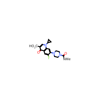 CNC(=O)N1CCN(c2cc3c(cc2F)c(=O)c(C(=O)O)cn3C2CC2)CC1